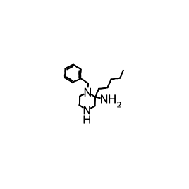 CCCCCC1(N)CNCCN1Cc1ccccc1